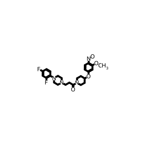 COc1cc(OC2CCN(C(=O)CCN3CCN(c4ccc(F)cc4F)CC3)CC2)ccc1N=O